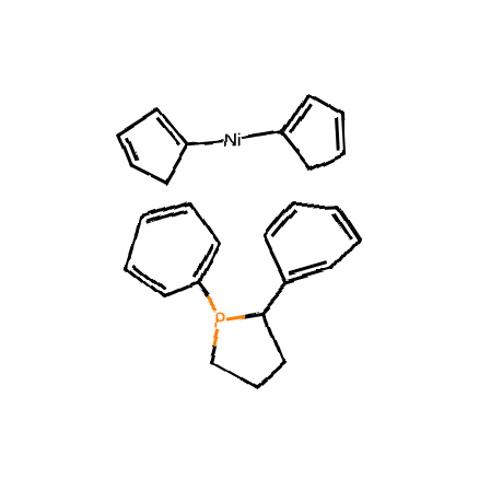 C1=CC[C]([Ni][C]2=CC=CC2)=C1.c1ccc(C2CCCP2c2ccccc2)cc1